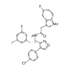 O=C(Cc1c[nH]c2ccc(F)cc12)N[C@@H](Cc1cc(F)cc(F)c1)c1nocc1-c1ccc(Cl)cc1